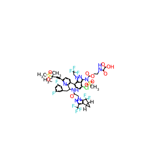 CC(C)(C#Cc1ccc(-c2ccc(Cl)c3c(N(C(=O)OCCNC(=O)C(=O)O)S(C)(=O)=O)nn(CC(F)(F)F)c23)c(C(Cc2cc(F)cc(F)c2)NC(=O)Cn2nc(C(F)(F)F)c3c2C(F)(F)[C@@H]2C[C@H]32)n1)S(C)(=O)=O